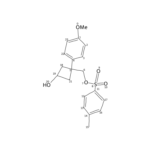 COc1ccc(C2(COS(=O)(=O)c3ccc(C)cc3)CC(O)C2)cc1